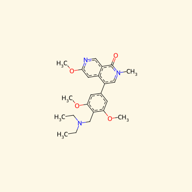 CCN(CC)Cc1c(OC)cc(-c2cn(C)c(=O)c3cnc(OC)cc23)cc1OC